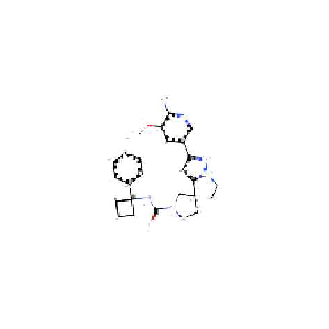 Nc1ncc(-c2cc3n(n2)CC[C@@]32CCN(C(=O)NC3(c4ccccc4)CCC3)C2)cc1OC(F)(F)F